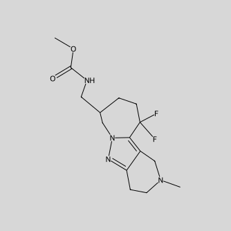 COC(=O)NCC1CCC(F)(F)c2c3c(nn2C1)CCN(C)C3